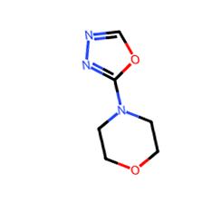 c1nnc(N2CCOCC2)o1